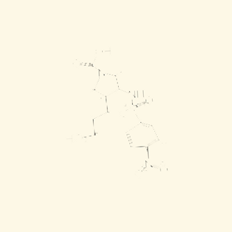 O=C(O)N1CC(CCCO)C(NS(=O)(=O)c2ccc([N+](=O)[O-])cc2)C1